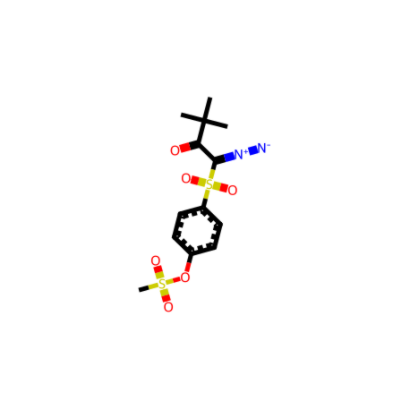 CC(C)(C)C(=O)C(=[N+]=[N-])S(=O)(=O)c1ccc(OS(C)(=O)=O)cc1